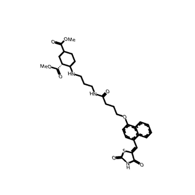 COC(=O)C1CCC(NCCCNC(=O)CCCOc2ccc(/C=C3\SC(=O)NC3=O)c3ccccc23)[C@H](C(=O)OC)C1